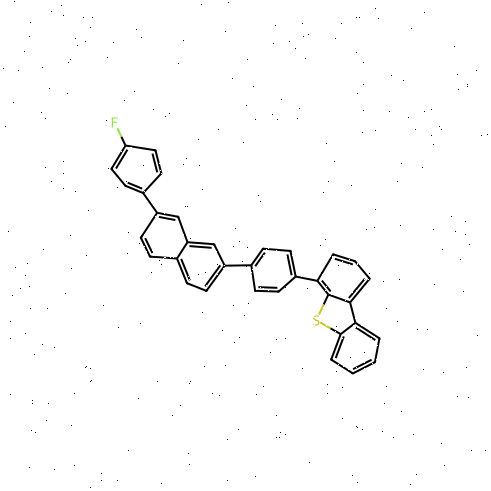 Fc1ccc(-c2ccc3ccc(-c4ccc(-c5cccc6c5sc5ccccc56)cc4)cc3c2)cc1